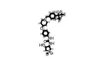 O=C(Nc1ccc(OC2CCN(Cc3ccc(C(O)(C(F)(F)F)C(F)(F)F)cc3)CC2)cc1)NC1CS(=O)(=O)CC1O